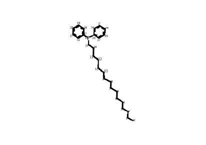 CCCCCCCCCCCCCCCCP(c1ccccc1)c1ccccc1